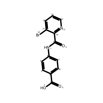 O=C(O)c1ccc(NC(=O)c2ncccc2Br)cc1